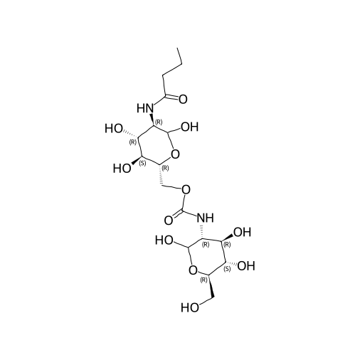 CCCC(=O)N[C@H]1C(O)O[C@H](COC(=O)N[C@H]2C(O)O[C@H](CO)[C@@H](O)[C@@H]2O)[C@@H](O)[C@@H]1O